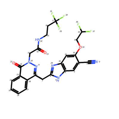 N#Cc1cc2[nH]c(Cc3nn(CC(=O)NCCC(F)(F)F)c(=O)c4ccccc34)nc2cc1OCC(F)F